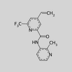 C=Cc1cc(C(=O)Nc2cccnc2C)nc(C(F)(F)F)c1